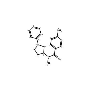 CCCCN(C(=O)c1ccc(N)cc1)C1CCN(c2ccccc2)C1